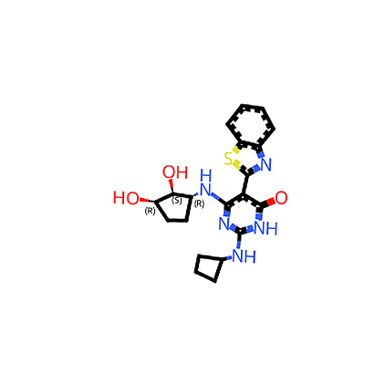 O=c1[nH]c(NC2CCC2)nc(N[C@@H]2CC[C@@H](O)[C@H]2O)c1-c1nc2ccccc2s1